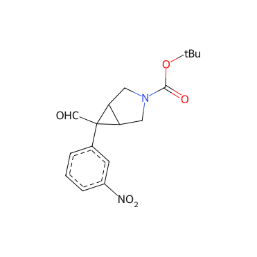 CC(C)(C)OC(=O)N1CC2C(C1)C2(C=O)c1cccc([N+](=O)[O-])c1